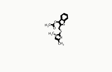 CC(=O)Oc1c(CSc2nc(C)cn2C)sc2ccccc12